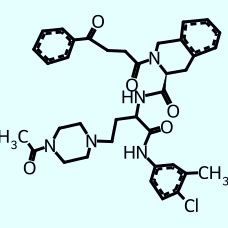 CC(=O)N1CCN(CCC(NC(=O)[C@@H]2Cc3ccccc3CN2C(=O)CCC(=O)c2ccccc2)C(=O)Nc2ccc(Cl)c(C)c2)CC1